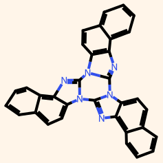 c1ccc2c(c1)ccc1c2nc2n1c1nc3c4ccccc4ccc3n1c1nc3c4ccccc4ccc3n21